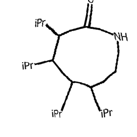 CC(C)C1CNC(=O)C(C(C)C)C(C(C)C)C1C(C)C